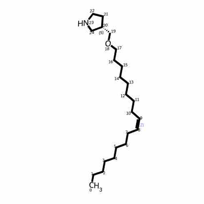 CCCCCCCC/C=C\CCCCCCCCOC[C@H]1CCNC1